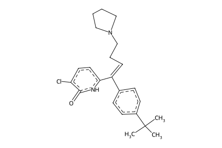 CC(C)(C)c1ccc(C(=CCCN2CCCC2)c2ccc(Cl)c(=O)[nH]2)cc1